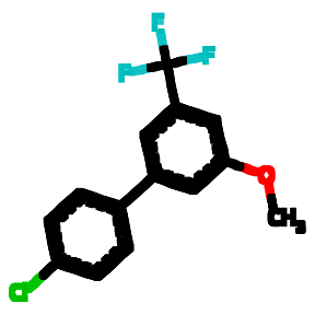 COc1cc(-c2ccc(Cl)cc2)cc(C(F)(F)F)c1